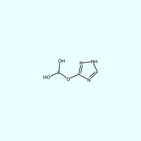 OB(O)Oc1nc[nH]n1